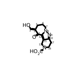 O=C1C(=CO)CCCn2nc3c(c21)CN(C(=O)O)CC3